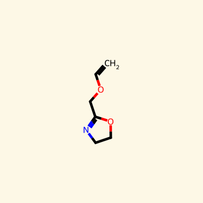 C=COCC1=NCCO1